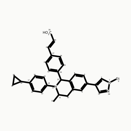 CCn1cc(-c2ccc3c(c2)CC(C)N(c2ccc(C4CC4)cc2)C3c2ccc(/C=C/C(=O)O)cc2)cn1